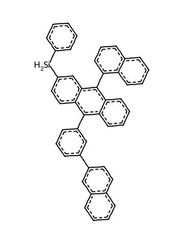 c1ccc([SiH2]c2ccc3c(-c4cccc(-c5ccc6ccccc6c5)c4)c4ccccc4c(-c4cccc5ccccc45)c3c2)cc1